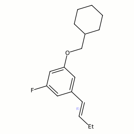 CC/C=C/c1cc(F)cc(OCC2CCCCC2)c1